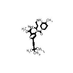 COC(=O)c1sc(C#CC(C)(C)C)cc1N(C(=O)[C@H]1CC[C@H](C)CC1)C(C)CCN